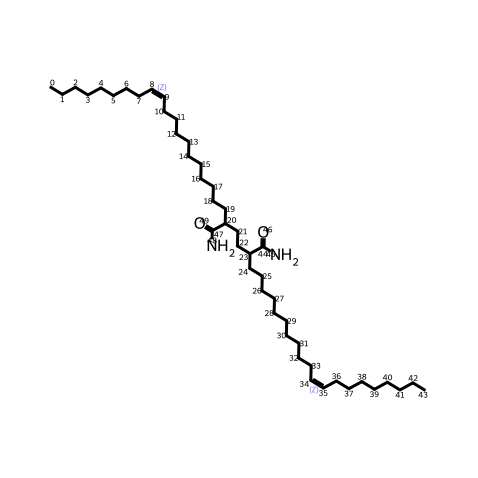 CCCCCCCC/C=C\CCCCCCCCCCC(CCC(CCCCCCCCCC/C=C\CCCCCCCC)C(N)=O)C(N)=O